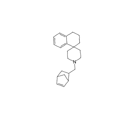 C1=CC2CC1CC2CN1CCC2(CCCc3ccccc32)CC1